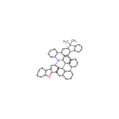 CC1(C)c2ccccc2-c2ccc(-c3ccccc3N(c3ccc4oc5ccccc5c4c3)c3ccccc3-c3cccc4cccc(-c5ccccc5)c34)cc21